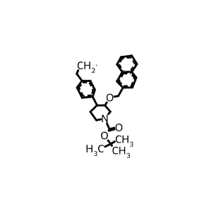 [CH2]Cc1ccc(C2CCN(C(=O)OC(C)(C)C)CC2OCc2ccc3ccccc3c2)cc1